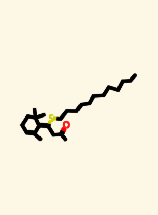 CCCCCCCCCCCCSC(CC(C)=O)=C1C(C)=CCCC1(C)C